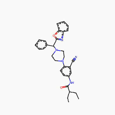 CCC(CC)C(=O)Nc1ccc(N2CCN(C(c3ccccc3)c3nc4ccccc4o3)CC2)c(C#N)c1